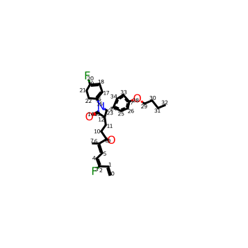 C=C/C(F)=C\C=C(/C)C(=O)CCC1C(=O)N(C2=CC=C(F)CC2)[C@@H]1c1ccc(OCCCC)cc1